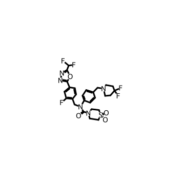 O=C(N1CCS(=O)(=O)CC1)N(Cc1ccc(-c2nnc(C(F)F)o2)cc1F)c1ccc(CN2CCC(F)(F)CC2)cc1